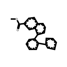 COC(=O)c1ccc2cccc(-c3ccccc3-c3ccccc3)c2c1